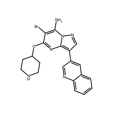 Nc1c(Br)c(OC2CCNCC2)nc2c(-c3cnc4ccccc4c3)cnn12